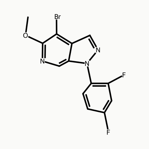 COc1ncc2c(cnn2-c2ccc(F)cc2F)c1Br